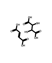 O=C(O)/C=C/C(=O)O.O=C(O)C(S)C(S)C(=O)O